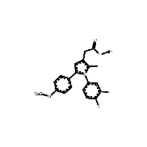 CSOc1ccc(-c2cc(CC(=O)OC(C)C)c(C)n2-c2ccc(F)c(F)c2)cc1